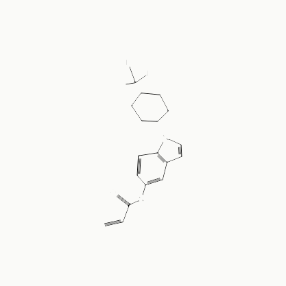 C=CC(=O)Nc1ccc2c(ccn2[C@H]2CC[C@@H](C(F)(F)F)CC2)c1